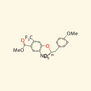 CC[C@H](Cc1ccc(OC)cc1)Oc1cc(C(F)(F)F)c(C(=O)OC)cc1[N+](=O)[O-]